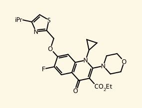 CCOC(=O)c1c(N2CCOCC2)n(C2CC2)c2cc(OCc3nc(C(C)C)cs3)c(F)cc2c1=O